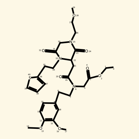 CCOC(=O)CN(CCc1ccc(OC)c(OC)c1)C(=O)CC1C(=O)N(CCOC)CC(=O)N1CCc1cccs1